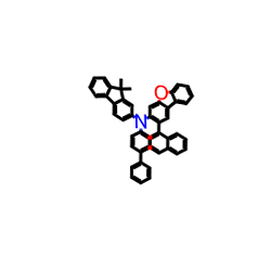 CC1(C)c2ccccc2-c2ccc(N(c3ccc(-c4ccccc4)cc3)c3cc4oc5ccccc5c4cc3-c3cccc4ccccc34)cc21